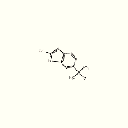 CC(C)(Cl)c1cc2[nH]c(C(F)(F)F)nc2cn1